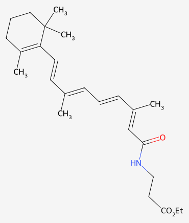 CCOC(=O)CCNC(=O)C=C(C)C=CC=C(C)C=CC1=C(C)CCCC1(C)C